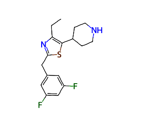 CCc1nc(Cc2cc(F)cc(F)c2)sc1C1CCNCC1